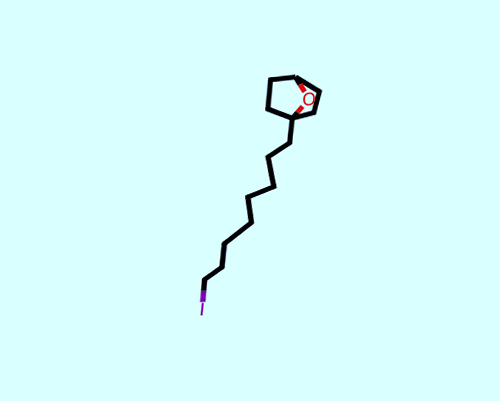 ICCCCCCCCC12CCC(CC1)O2